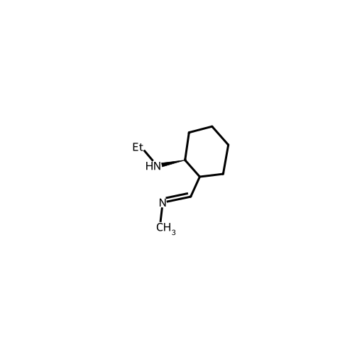 CCN[C@H]1CCCCC1C=NC